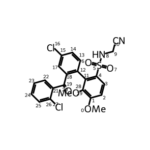 COc1ccc(S(=O)(=O)NCC#N)c(-c2ccc(Cl)cc2C(=O)c2ccccc2Cl)c1OC